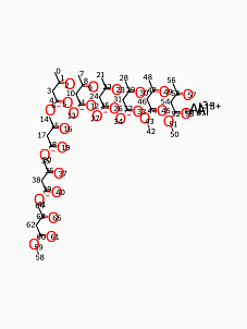 CC(=O)CC(=O)[O-].CC(=O)CC(=O)[O-].CC(=O)CC(=O)[O-].CC(=O)CC(=O)[O-].CC(=O)CC(=O)[O-].CC(=O)CC(=O)[O-].COC(=O)CC(C)=O.COC(=O)CC(C)=O.COC(=O)CC(C)=O.[Al+3].[Al+3]